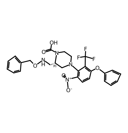 O=C(O)N1CCN(c2c([N+](=O)[O-])ccc(Oc3ccccc3)c2C(F)(F)F)C[C@@H]1CNOCc1ccccc1